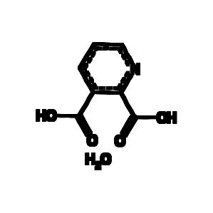 O.O=C(O)c1cccnc1C(=O)O